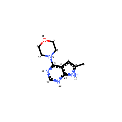 Cc1cc2c(N3CCOCC3)ncnc2[nH]1